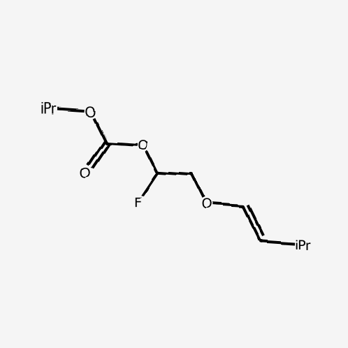 CC(C)/C=C/OCC(F)OC(=O)OC(C)C